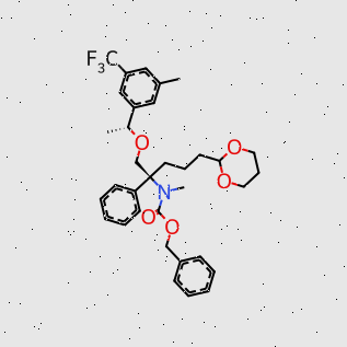 Cc1cc([C@@H](C)OC[C@](CCCC2OCCCO2)(c2ccccc2)N(C)C(=O)OCc2ccccc2)cc(C(F)(F)F)c1